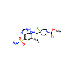 CC(C)(C)OC(=O)N1CCC(F)(CNc2c([N+](=O)[O-])cc(S(N)(=O)=O)c3nc[nH]c23)CC1